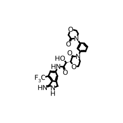 N=C1NCc2cc(NC(=O)C(O)[C@H]3OCCN(c4cccc(N5CCOCC5=O)c4)C3=O)cc(C(F)(F)F)c21